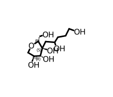 OCCCC(O)C[C@]1(O)[C@H](O)[C@@H](O)CO[C@@H]1CO